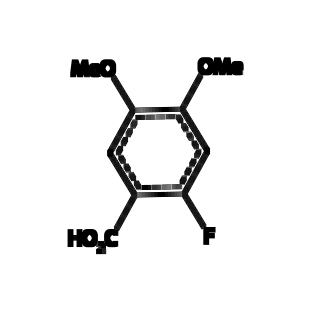 COc1cc(F)c(C(=O)O)cc1OC